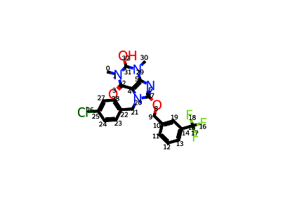 CN1C(=O)c2c(nc(OCc3cccc(C(F)(F)F)c3)n2Cc2ccc(Cl)cc2)N(C)C1O